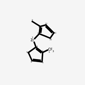 CC1=[C]([Zr][C]2=C(C(F)(F)F)C=CC2)CC=C1